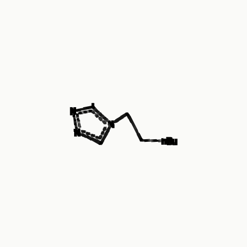 CCCCCCn1[c]nnc1